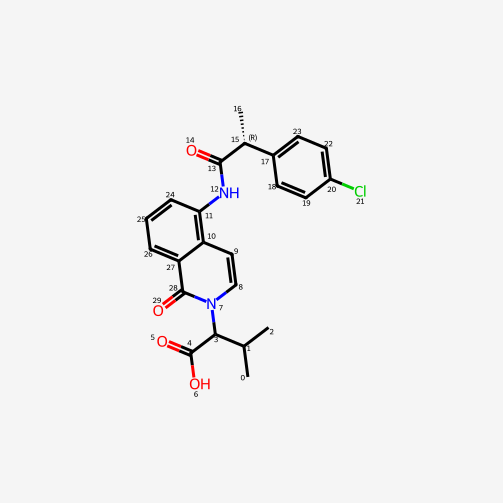 CC(C)C(C(=O)O)n1ccc2c(NC(=O)[C@H](C)c3ccc(Cl)cc3)cccc2c1=O